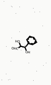 O=CC(O)C(O)c1ccccc1